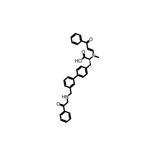 CN(C=CC(=O)c1ccccc1)[C@@H](Cc1ccc(-c2cccc(CNCC(=O)c3ccccc3)c2)cc1)C(=O)O